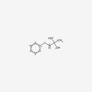 CC(O)(O)NCc1ccccc1